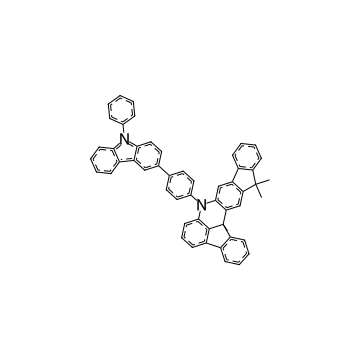 CC1(C)c2ccccc2-c2cc3c(cc21)C1(C)c2ccccc2-c2cccc(c21)N3c1ccc(-c2ccc3c(c2)c2ccccc2n3-c2ccccc2)cc1